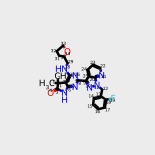 CC1(C)C(=O)Nc2nc(-c3nn(Cc4ccccc4F)c4ncccc34)nc(NCC3CCCO3)c21